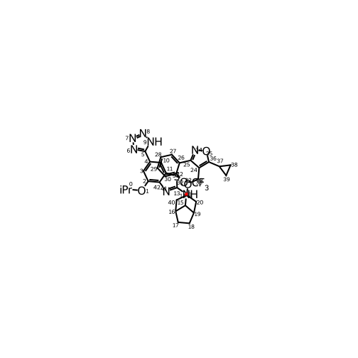 CC(C)Oc1cc(-c2nnn[nH]2)cc2sc(NC3C4CCC3CC(OCc3c(-c5ccccc5OC(F)(F)F)noc3C3CC3)C4)nc12